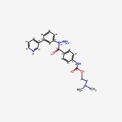 CN(C)CCOC(=O)Nc1ccc(C(=O)N(N)c2cccc(-c3cccnc3)c2)cc1